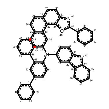 c1ccc(-c2ccc(N(c3ccc4oc5ccccc5c4c3)c3ccc4ccc5ccc6nc(-c7ccccc7)oc6c5c4c3)c(-c3ccccc3)c2)cc1